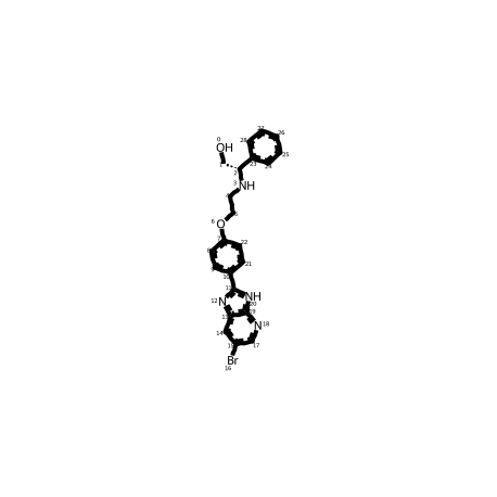 OC[C@@H](NCCOc1ccc(-c2nc3cc(Br)cnc3[nH]2)cc1)c1ccccc1